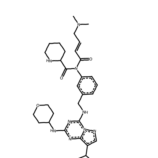 CC(C)c1cnn2c(NCc3cccc(N(C(=O)C=CCN(C)C)C(=O)C4CCCCN4)c3)nc(NC3CCOCC3)nc12